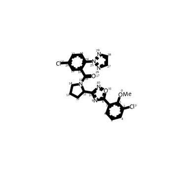 COc1c(Cl)cccc1-c1nc(C2CCCN2C(=O)c2cc(Cl)ccc2-n2nccn2)no1